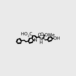 COC(=O)[C@H](Cc1ccc(O)cc1)NC(=O)c1cc(C(=O)O)c2cc(CCc3ccccc3)ccc2n1